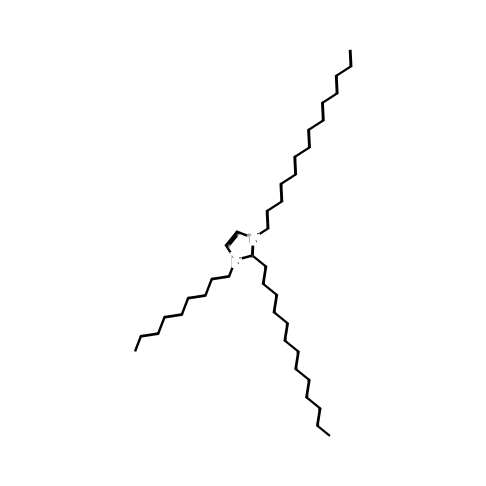 CCCCCCCCCCCCCCN1C=CN(CCCCCCCCC)C1CCCCCCCCCCCCC